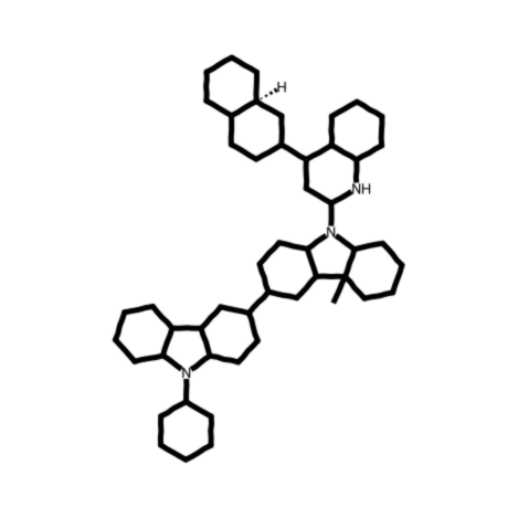 CC12CCCCC1N(C1CC(C3CCC4CCCC[C@H]4C3)C3CCCCC3N1)C1CCC(C3CCC4C(C3)C3CCCCC3N4C3CCCCC3)CC12